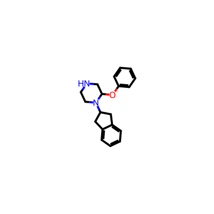 c1ccc(OC2CNCCN2C2Cc3ccccc3C2)cc1